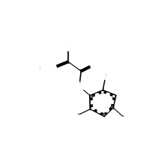 C=C(C)C(=O)Oc1c(I)cc(I)cc1I